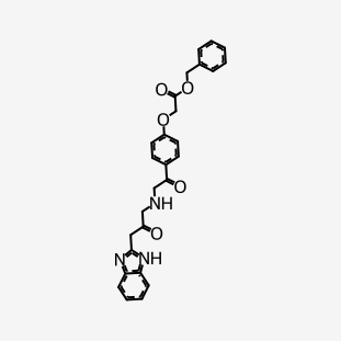 O=C(CNCC(=O)c1ccc(OCC(=O)OCc2ccccc2)cc1)Cc1nc2ccccc2[nH]1